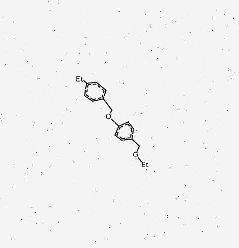 CCOCc1ccc(OCc2ccc(CC)cc2)cc1